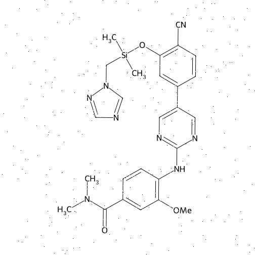 COc1cc(C(=O)N(C)C)ccc1Nc1ncc(-c2ccc(C#N)c(O[Si](C)(C)Cn3cncn3)c2)cn1